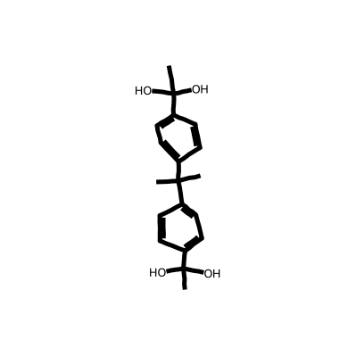 CC(O)(O)c1ccc(C(C)(C)c2ccc(C(C)(O)O)cc2)cc1